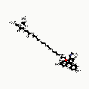 C=C(CC(=O)NCCCOCCOCCOCCCNC(=O)CC[C@H](NC(=O)OC(C)(C)C)C(=O)NCC(=O)O)C1=C(/C=C\C)C(=O)OC12c1ccc(O)cc1Oc1cc(O)ccc12